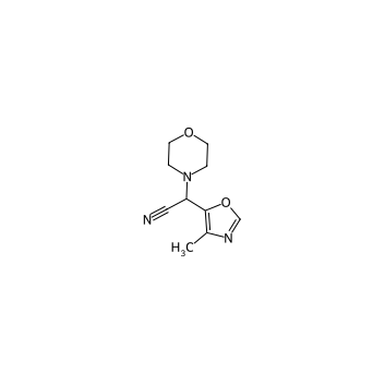 Cc1ncoc1C(C#N)N1CCOCC1